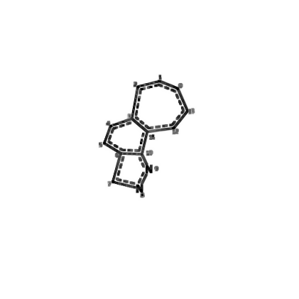 c1ccc2ccc3cnnc3c2cc1